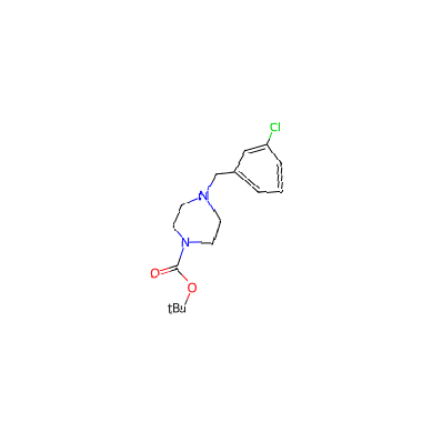 CC(C)(C)OC(=O)N1CCN(Cc2cccc(Cl)c2)CC1